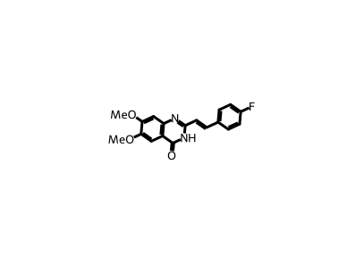 COc1cc2nc(C=Cc3ccc(F)cc3)[nH]c(=O)c2cc1OC